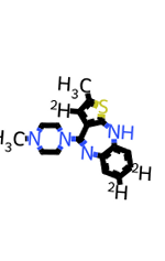 [2H]c1cc2c(cc1[2H])Nc1sc(C)c([2H])c1C(N1CCN(C)CC1)=N2